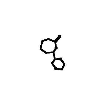 O=C1CCCCC(C2COCCO2)O1